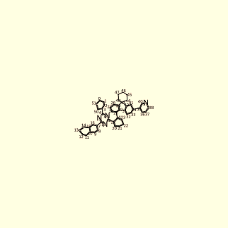 c1ccc(-c2nc(-c3ccc4ccccc4c3)nc(-c3ccccc3-c3cccc4c3-c3ccc(-c5cccnc5)cc3C43CCCCC3)n2)cc1